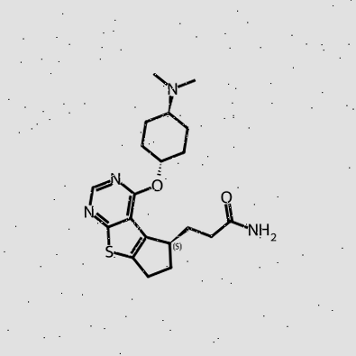 CN(C)[C@H]1CC[C@H](Oc2ncnc3sc4c(c23)[C@@H](CCC(N)=O)CC4)CC1